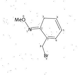 CON=C1CC=CC=C1CBr